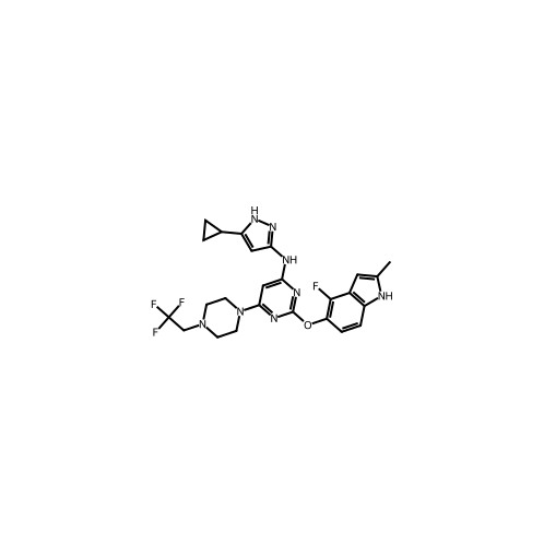 Cc1cc2c(F)c(Oc3nc(Nc4cc(C5CC5)[nH]n4)cc(N4CCN(CC(F)(F)F)CC4)n3)ccc2[nH]1